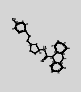 O=C(N[C@H]1CCN(CCc2ccc(F)cc2)C1)C1c2ccccc2Cc2ccccc21